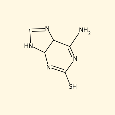 NC1=NC(S)=NC2NC=NC12